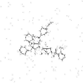 Cc1ccccc1S(=O)(=O)N1C[C@@H]2[C@H](C1)[C@H]2N1C(=O)C(Cc2ccncc2)(Cc2ccncc2)N/C1=C\C(=O)c1ccc(C#N)cc1